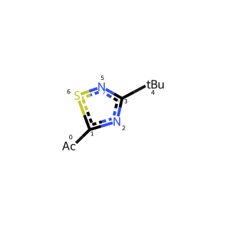 CC(=O)c1nc(C(C)(C)C)ns1